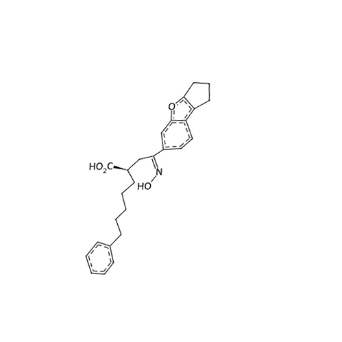 O=C(O)[C@H](CCCCCc1ccccc1)CC(=NO)c1ccc2c3c(oc2c1)CCC3